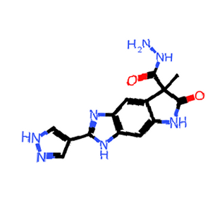 CC1(C(=O)NN)C(=O)Nc2cc3[nH]c(-c4cn[nH]c4)nc3cc21